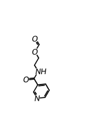 O=COCCNC(=O)c1cccnc1